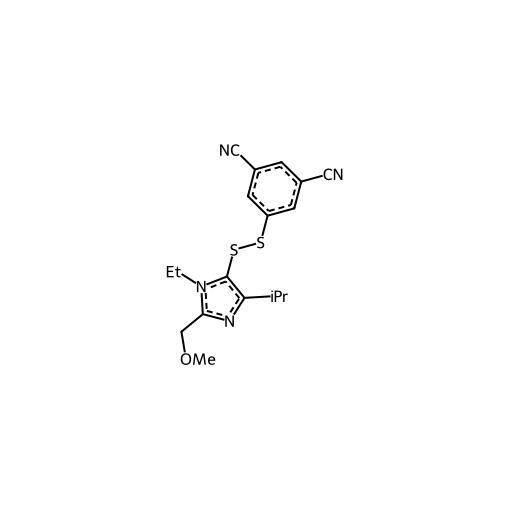 CCn1c(COC)nc(C(C)C)c1SSc1cc(C#N)cc(C#N)c1